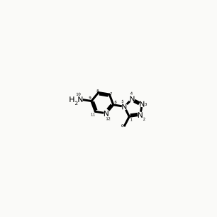 Cc1nnnn1-c1ccc(N)cn1